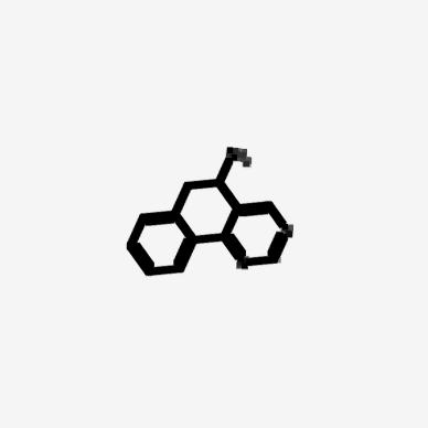 NC1Cc2ccccc2-c2n[c]ncc21